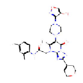 CCc1c(N2CCN(c3nocc3O)CC2)c(=O)n2nc(C3=CCOCC3)nc2n1CC(=O)Nc1ccc(C(F)(F)F)cc1C